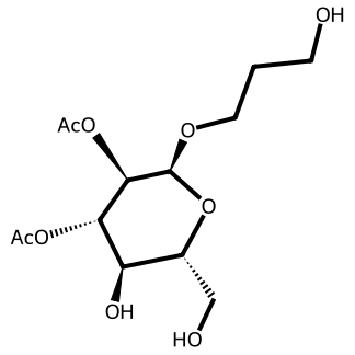 CC(=O)O[C@H]1[C@@H](OCCCO)O[C@H](CO)[C@@H](O)[C@@H]1OC(C)=O